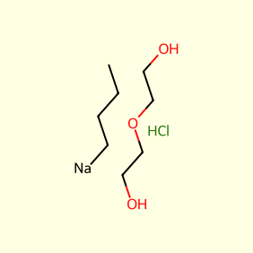 CCC[CH2][Na].Cl.OCCOCCO